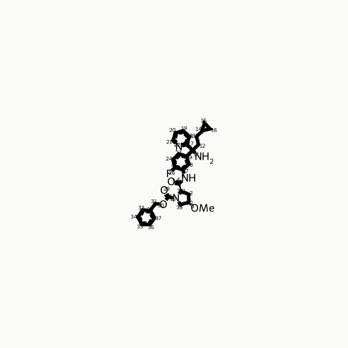 CO[C@@H]1C[C@H](C(=O)Nc2cc(C(N)(CCC3CC3)c3ccccn3)ccc2F)N(C(=O)OCc2ccccc2)C1